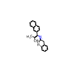 CC(C)=C(/N=C(\C)Cc1ccccc1)c1ccc2ccccc2c1